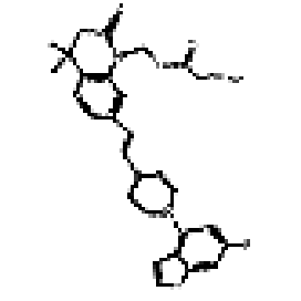 CCCCCCCCCCCC(=O)OCN1C(=O)CC(C)(C)c2ccc(CCN3CCN(c4cc(F)cc5sccc45)CC3)cc21